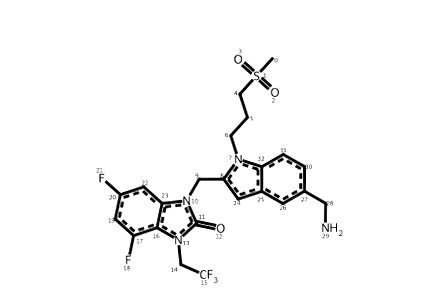 CS(=O)(=O)CCCn1c(Cn2c(=O)n(CC(F)(F)F)c3c(F)cc(F)cc32)cc2cc(CN)ccc21